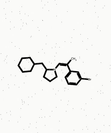 CC(=CN1CCCC1CC1CCCCC1)c1cccc(Br)c1